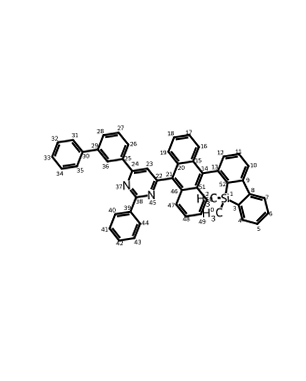 C[Si]1(C)c2ccccc2-c2cccc(-c3c4ccccc4c(-c4cc(-c5cccc(-c6ccccc6)c5)nc(-c5ccccc5)n4)c4ccccc34)c21